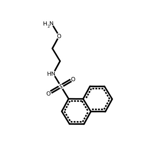 NOCCNS(=O)(=O)c1cccc2ccccc12